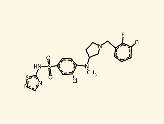 CN(c1ccc(S(=O)(=O)Nc2ncns2)cc1Cl)C1CCN(Cc2cccc(Cl)c2F)C1